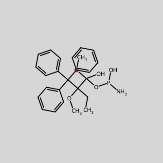 CCC(OC)(C(O)(OC)OP(N)O)C(c1ccccc1)(c1ccccc1)c1ccccc1